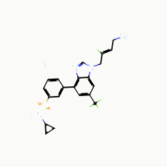 Cl.NCC=C(F)Cn1cnc2c(-c3cccc(S(=O)(=O)NC4CC4)c3)cc(C(F)(F)F)cc21